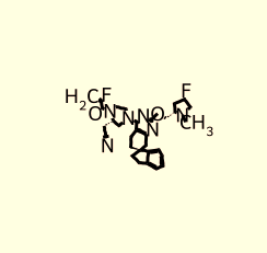 C=C(F)C(=O)N1CCN(c2nc(OC[C@@H]3C[C@@H](F)CN3C)nc3c2CC[C@@]2(CCc4ccccc42)C3)C[C@@H]1CC#N